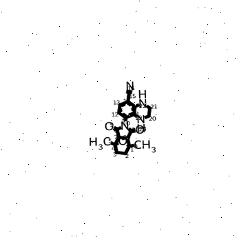 CC12CCC(C)(O1)C1C(=O)N(c3ccc(C#N)c4c3NCCN4)C(=O)C12